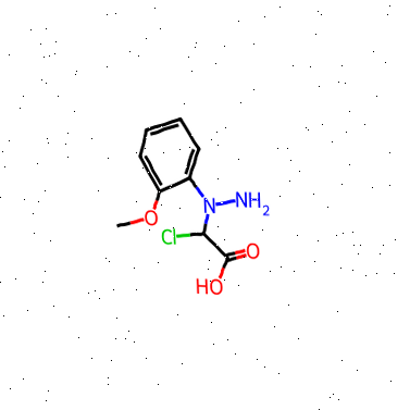 COc1ccccc1N(N)C(Cl)C(=O)O